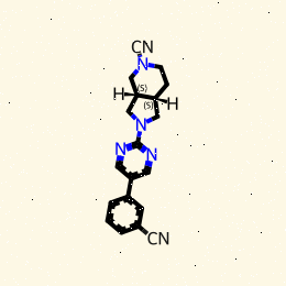 N#Cc1cccc(-c2cnc(N3C[C@H]4CCN(C#N)C[C@H]4C3)nc2)c1